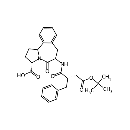 CC(C)(C)OC(=O)C[C@H](Cc1ccccc1)C(=O)NC1Cc2ccccc2C2CC[C@@H](C(=O)O)N2C1=O